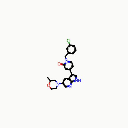 CC1CN(c2cnc3[nH]cc(-c4ccn(Cc5cccc(Cl)c5)c(=O)c4)c3c2)CCO1